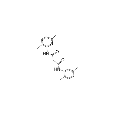 Cc1ccc(C)c(NC(=O)CC(=O)Nc2cc(C)ccc2C)c1